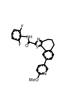 COc1ccc(-c2ccc3c(c2)-c2sc(C(=O)Nc4c(F)cccc4F)nc2CCC3)cn1